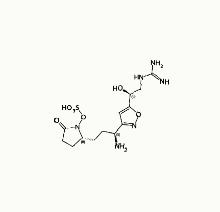 N=C(N)NC[C@H](O)c1cc([C@@H](N)CC[C@@H]2CCC(=O)N2OS(=O)(=O)O)no1